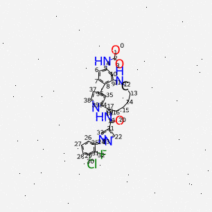 COC(=O)Nc1ccc2c(c1)NCCCCC[C@H](NC(=O)c1cnn(-c3cccc(Cl)c3F)c1)c1cc-2ccn1